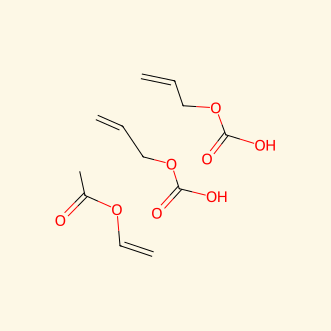 C=CCOC(=O)O.C=CCOC(=O)O.C=COC(C)=O